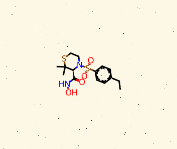 CCc1ccc(S(=O)(=O)N2CCSC(C)(C)[C@@H]2C(=O)NO)cc1